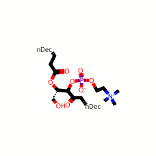 CCCCCCCCCCCCC(=O)O[C@@H](CO)C(OP(=O)([O-])OCC[N+](C)(C)C)C(=O)CCCCCCCCCCC